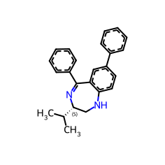 CC(C)[C@H]1CNc2ccc(-c3ccccc3)cc2C(c2ccccc2)=N1